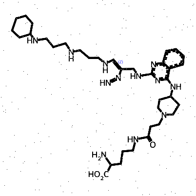 N=N/C(=C\NCCCNCCCNC1CCCCC1)CNc1nc(NC2CCN(CCC(=O)NCCCC(N)C(=O)O)CC2)c2ccccc2n1